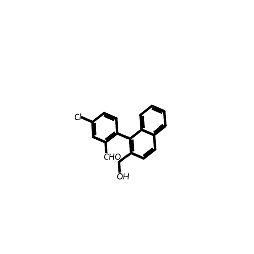 O=Cc1cc(Cl)ccc1-c1c(CO)ccc2ccccc12